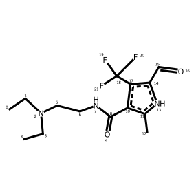 CCN(CC)CCNC(=O)c1c(C)[nH]c(C=O)c1C(F)(F)F